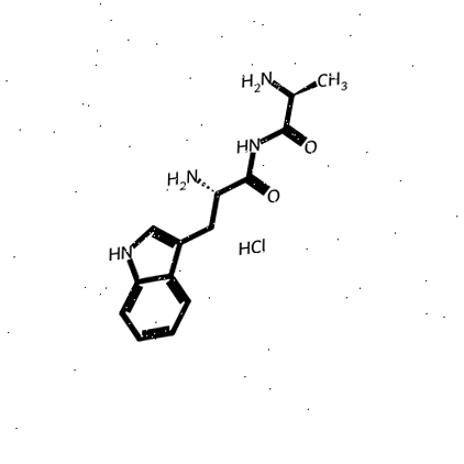 C[C@H](N)C(=O)NC(=O)[C@@H](N)Cc1c[nH]c2ccccc12.Cl